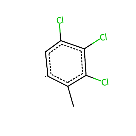 Cc1[c]cc(Cl)c(Cl)c1Cl